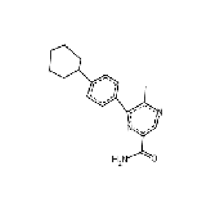 Cc1ncc(C(N)=O)nc1-c1ccc(C2CC[CH]CC2)cc1